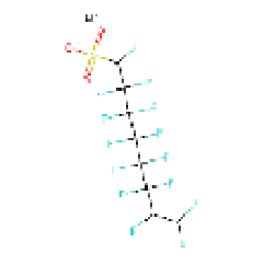 O=S(=O)([O-])C(F)C(F)(F)C(F)(F)C(F)(F)C(F)(F)C(F)(F)C(F)C(F)F.[Li+]